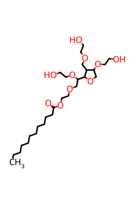 CCCCCCCCCCCC(=O)OCCOCC(OCCO)C1OCC(OCCO)C1COCCO